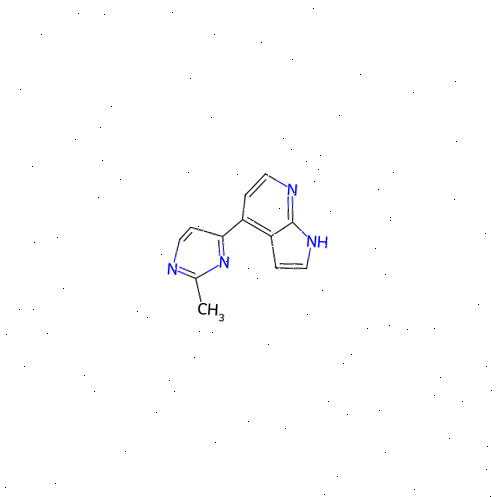 Cc1nccc(-c2ccnc3[nH]ccc23)n1